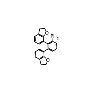 Pc1cccc(-c2cccc3c2OCC3)c1-c1cccc2c1OCC2